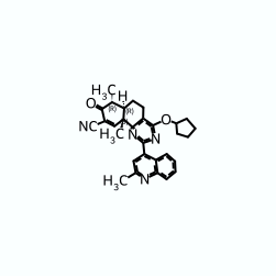 Cc1cc(-c2nc(OC3CCCC3)c3c(n2)[C@]2(C)C=C(C#N)C(=O)[C@H](C)[C@H]2CC3)c2ccccc2n1